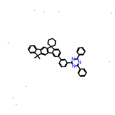 CC1(C)c2ccccc2-c2cc3c(cc21)-c1cc(-c2cccc(-c4nc(-c5ccccc5)nc(-c5ccccc5)n4)c2)ccc1C31CCCCC1